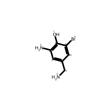 NCc1cc(N)c(O)c(Br)c1